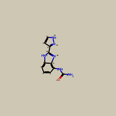 NC(=O)Nc1cccc2[nH]c(-c3cc[nH]n3)nc12